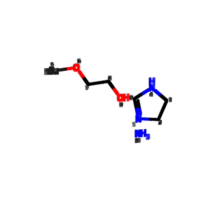 C1=NCCN1.CCCCOCCO.N